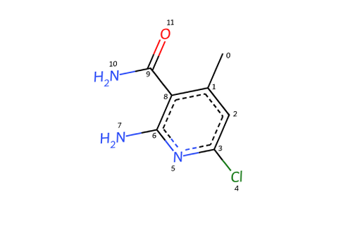 Cc1cc(Cl)nc(N)c1C(N)=O